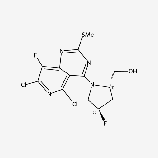 CSc1nc(N2C[C@H](F)C[C@H]2CO)c2c(Cl)nc(Cl)c(F)c2n1